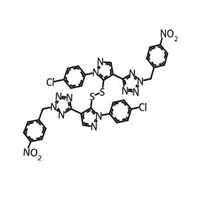 O=[N+]([O-])c1ccc(Cn2nnc(-c3cnn(-c4ccc(Cl)cc4)c3SSc3c(-c4nnn(Cc5ccc([N+](=O)[O-])cc5)n4)cnn3-c3ccc(Cl)cc3)n2)cc1